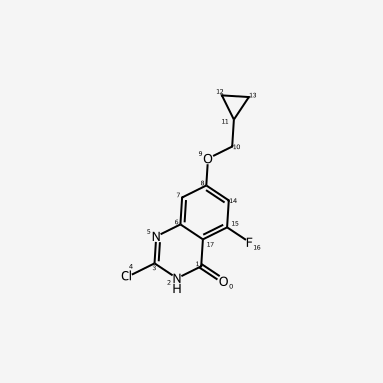 O=c1[nH]c(Cl)nc2cc(OCC3CC3)cc(F)c12